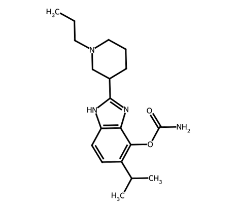 CCCN1CCCC(c2nc3c(OC(N)=O)c(C(C)C)ccc3[nH]2)C1